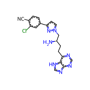 N#Cc1ccc(-c2ccn(C[C@H](N)CCc3ncnc4nc[nH]c34)n2)cc1Cl